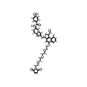 Cc1cccc2c(OCCOCCOCCOCCN3C(=O)C=CC3=O)cc3c(c12)C(CCl)CN3Cc1cn2cc(NC(=O)c3ccc(O)cc3)ccc2n1